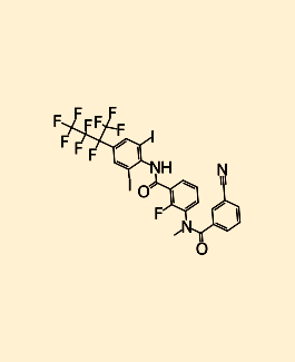 CN(C(=O)c1cccc(C#N)c1)c1cccc(C(=O)Nc2c(I)cc(C(F)(C(F)(F)F)C(F)(F)C(F)(F)F)cc2I)c1F